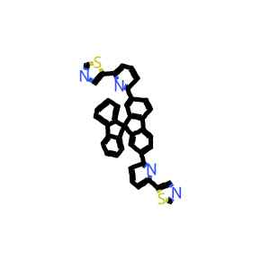 c1cc(-c2ccc3c(c2)C2(c4ccccc4-c4ccccc42)c2cc(-c4cccc(-c5cncs5)n4)ccc2-3)nc(-c2cncs2)c1